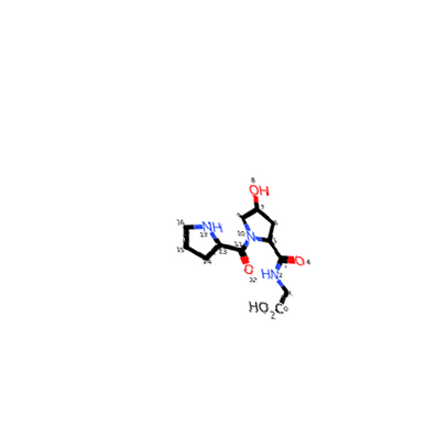 O=C(O)CNC(=O)C1CC(O)CN1C(=O)C1CCCN1